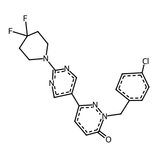 O=c1ccc(-c2cnc(N3CCC(F)(F)CC3)nc2)nn1Cc1ccc(Cl)cc1